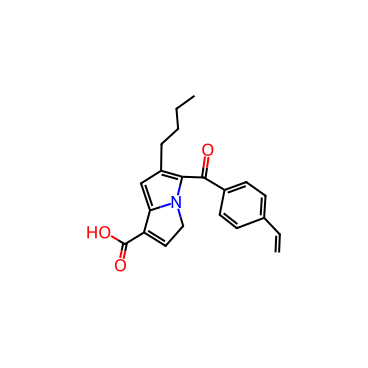 C=Cc1ccc(C(=O)c2c(CCCC)cc3n2CC=C3C(=O)O)cc1